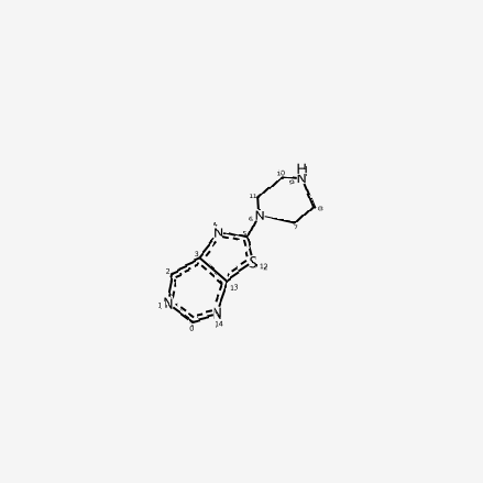 c1ncc2nc(N3CCNCC3)sc2n1